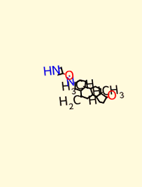 C=C1C[C@@H]2[C@H](CC[C@]3(C)C(=O)CC[C@@H]23)[C@@]2(C)CCC(=NOC3CNC3)CC12